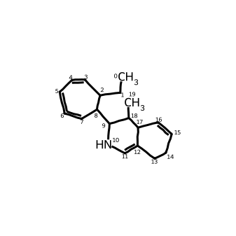 CCC1C=CC=C=CC1C1NC=C2CCC=CC2C1C